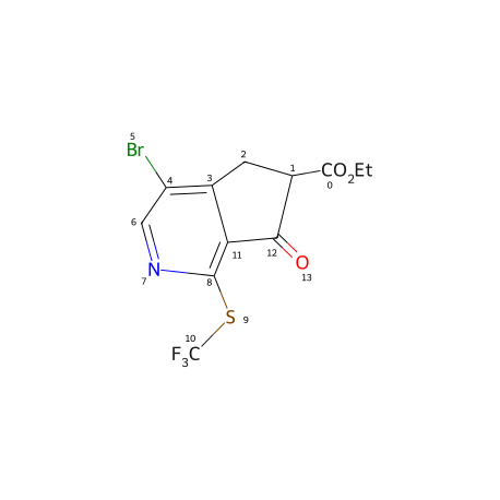 CCOC(=O)C1Cc2c(Br)cnc(SC(F)(F)F)c2C1=O